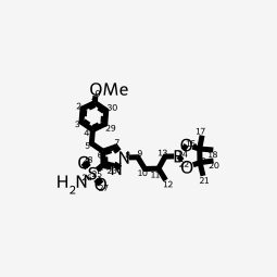 COc1ccc(Cc2cn(CCC(C)CB3OC(C)(C)C(C)(C)O3)nc2S(N)(=O)=O)cc1